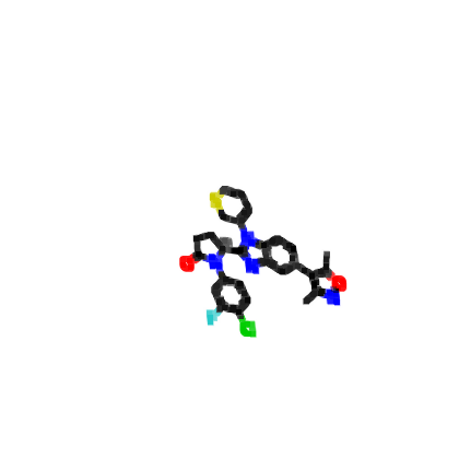 Cc1noc(C)c1-c1ccc2c(c1)nc([C@@H]1CCC(=O)N1c1ccc(Cl)c(F)c1)n2C1=CC=CSC1